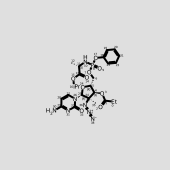 CCC(=O)O[C@@H]1[C@@H](COP(=O)(N[C@@H](C)C(=O)OC(C)C)Oc2ccccc2)O[C@@H](n2ccc(N)nc2=O)[C@]1(C)N=[N+]=[N-]